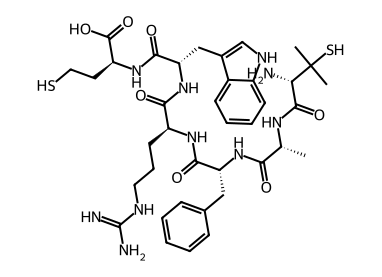 C[C@@H](NC(=O)[C@H](N)C(C)(C)S)C(=O)N[C@H](Cc1ccccc1)C(=O)N[C@@H](CCCNC(=N)N)C(=O)N[C@@H](Cc1c[nH]c2ccccc12)C(=O)N[C@@H](CCS)C(=O)O